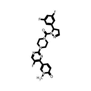 Cn1cc(-c2nc(N3CCN(C(=O)N4N=CCC4c4cc(F)cc(F)c4)CC3)ncc2F)ccc1=O